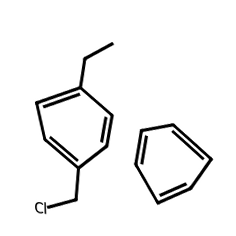 CCc1ccc(CCl)cc1.c1ccccc1